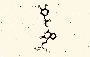 CN(C)CCn1c2c(c(SCC(=O)Nc3ccc(F)c(F)c3)nc1=O)CCC2